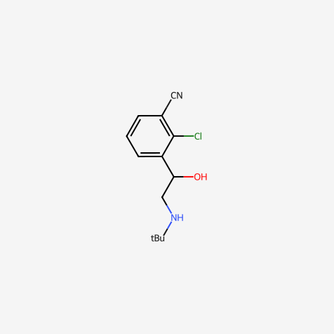 CC(C)(C)NCC(O)c1cccc(C#N)c1Cl